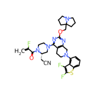 C=C(F)C(=O)N1CCN(c2nc(OCC34CCCN3CCC4)nc3c2CCN(c2cccc4sc(F)c(F)c24)C3)C[C@@H]1CC#N